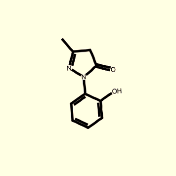 CC1=NN(c2ccccc2O)C(=O)C1